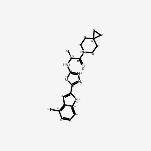 C[C@H](Nc1nnc(-c2cc3c(F)cccc3[nH]2)o1)C(=O)N1CCC2(CC1)CC2